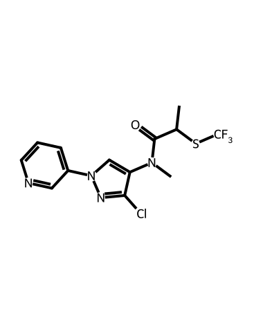 CC(SC(F)(F)F)C(=O)N(C)c1cn(-c2cccnc2)nc1Cl